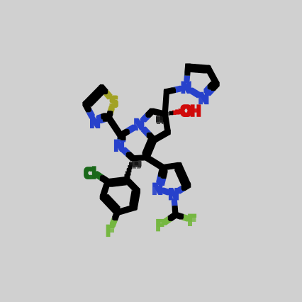 O[C@]1(Cn2cccn2)CC2=C(c3ccn(C(F)F)n3)[C@H](c3ccc(F)cc3Cl)N=C(c3nccs3)N2C1